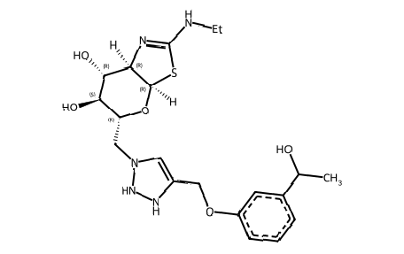 CCNC1=N[C@@H]2[C@@H](O)[C@H](O)[C@@H](CN3C=C(COc4cccc(C(C)O)c4)NN3)O[C@@H]2S1